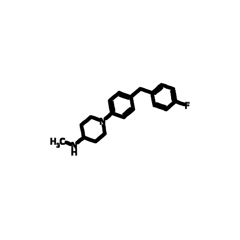 CNC1CCN(c2ccc(Cc3ccc(F)cc3)cc2)CC1